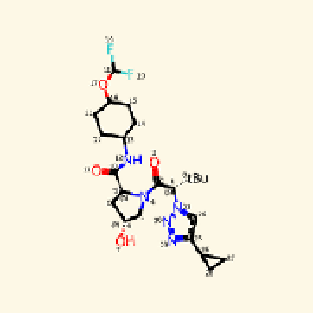 CC(C)(C)[C@@H](C(=O)N1C[C@H](O)C[C@H]1C(=O)NC1CCC(OC(F)F)CC1)n1cc(C2CC2)nn1